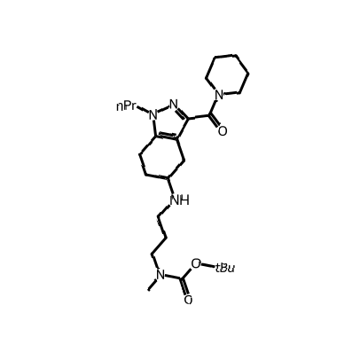 CCCn1nc(C(=O)N2CCCCC2)c2c1CCC(NCCCN(C)C(=O)OC(C)(C)C)C2